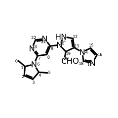 CC1C=CC(C)N1c1cc(N2NC=C(n3ccnc3)C2C=O)ncn1